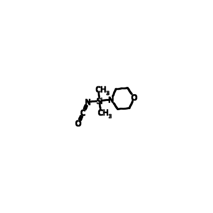 C[Si](C)(N=C=O)N1CCOCC1